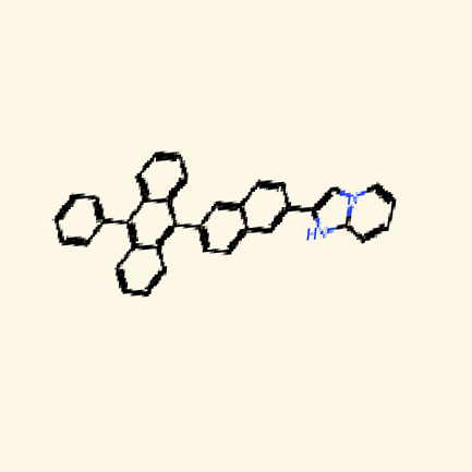 C1=CC2NC(c3ccc4cc(-c5c6ccccc6c(-c6ccccc6)c6ccccc56)ccc4c3)=CN2C=C1